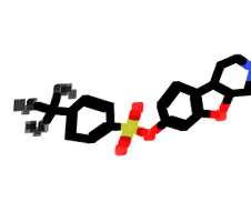 CC(C)(C)c1ccc(S(=O)(=O)Oc2ccc3c(c2)OC2CNCCC32)cc1